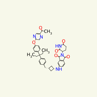 CCC(CC)(c1ccc(C[C@H]2C[C@@H](Nc3ccc4c(c3)C(=O)N(C3CCC(=O)NC3=O)C4=O)C2)cc1)c1ccc(Oc2cnc(C(C)=O)cn2)cc1